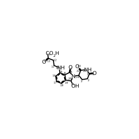 O=C1CCC(N2C(=O)c3c(NCCC(=O)C(=O)O)cccc3C2O)C(=O)N1